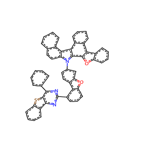 c1ccc(-c2nc(-c3cccc4oc5cc(-n6c7ccc8ccccc8c7c7c8ccccc8c8c9ccccc9oc8c76)ccc5c34)nc3c2sc2ccccc23)cc1